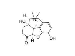 C[N+]1(C)CC[C@]23c4c5ccc(O)c4O[C@H]2C(=O)CC[C@@]3(O)[C@H]1C5